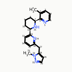 Cc1cccnc1[C@@H]1CCC[C@H](c2cccc(Cc3ccnn3C)n2)N1